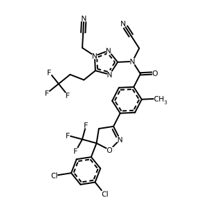 Cc1cc(C2=NOC(c3cc(Cl)cc(Cl)c3)(C(F)(F)F)C2)ccc1C(=O)N(CC#N)c1nc(CCC(F)(F)F)n(CC#N)n1